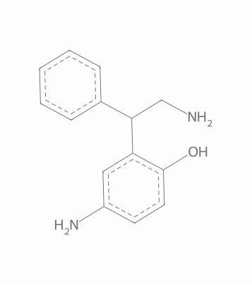 NCC(c1ccccc1)c1cc(N)ccc1O